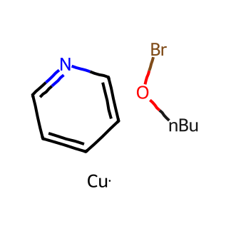 CCCCOBr.[Cu].c1ccncc1